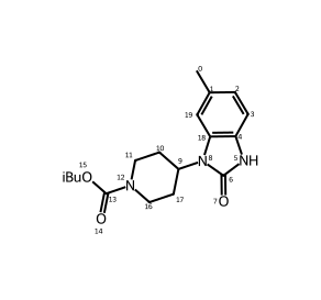 Cc1ccc2[nH]c(=O)n(C3CCN(C(=O)OCC(C)C)CC3)c2c1